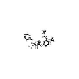 CC(C)(CCN1CCOCC1)NC(=O)Oc1ccc(C2CC2)c(OCC2CC2)n1